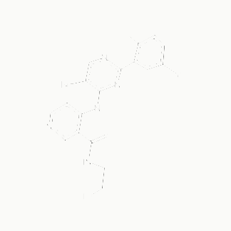 C[C@H](O)CNC(=O)c1cnccc1Nc1nc(-c2cc(Cl)ccc2F)ncc1C(C)(C)C